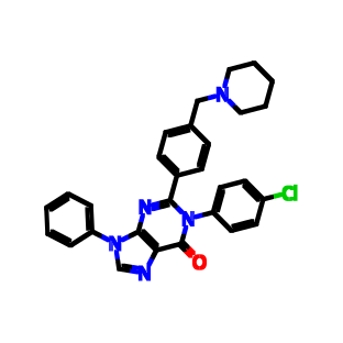 O=c1c2ncn(-c3ccccc3)c2nc(-c2ccc(CN3CCCCC3)cc2)n1-c1ccc(Cl)cc1